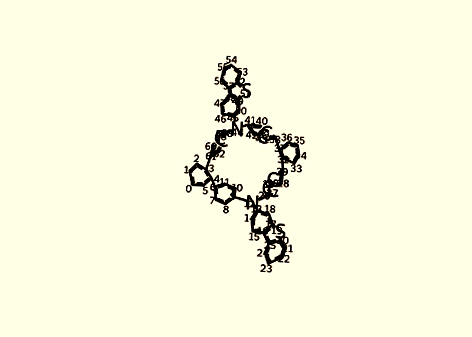 c1ccc2c(c1)-c1ccc(cc1)N(c1ccc3c(c1)sc1ccccc13)c1ccc(cc1)-c1ccccc1-c1ccc(cc1)N(c1ccc3c(c1)sc1ccccc13)c1ccc-2cc1